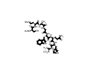 CSCC[C@H](NC(=O)[C@H](CO)NC(C)=O)C(=O)N[C@@H](C)C(=O)NCC(=O)N[C@@H](Cc1c[nH]c2ccccc12)C(=O)N[C@@H](CCC(N)=O)C(=O)N[C@@H](Cc1c[nH]cn1)C(=O)N[C@@H](C)C(=O)O